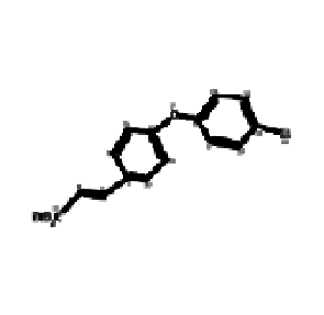 CCOC(=O)C=Cc1ccc(Oc2ccc(CC)cc2)cc1